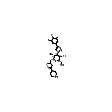 OC[C@H]1O[C@H](CC2CC(C3CCNCC3)=NO2)[C@H](O)[C@@H](n2cc(-c3cc(F)c(F)c(F)c3)nn2)[C@H]1O